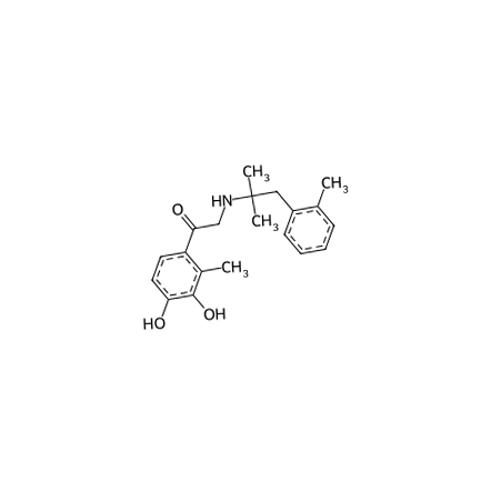 Cc1ccccc1CC(C)(C)NCC(=O)c1ccc(O)c(O)c1C